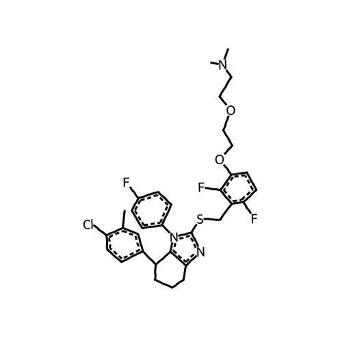 Cc1cc(C2CCCc3nc(SCc4c(F)ccc(OCCOCCN(C)C)c4F)n(-c4ccc(F)cc4)c32)ccc1Cl